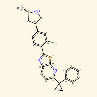 O=C(O)[C@@H]1C[C@H](c2ccc(-c3nc4ccc(C5(c6ccccc6)C=C5)nc4s3)c(F)c2)CN1